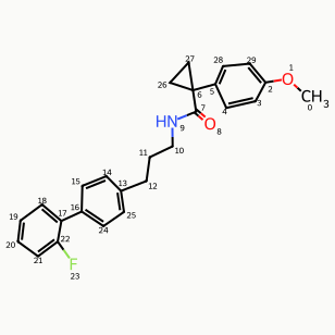 COc1ccc(C2(C(=O)NCCCc3ccc(-c4ccccc4F)cc3)CC2)cc1